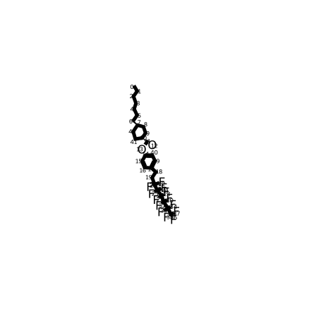 CCCCCCC[C@H]1CC[C@H](C(=O)Oc2ccc(CCC(F)(F)C(F)(F)C(F)(F)C(F)(F)C(F)(F)C(F)(F)F)cc2)CC1